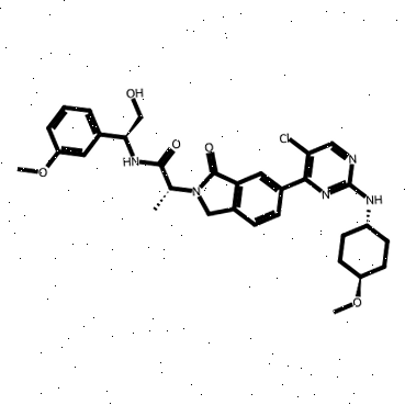 COc1cccc([C@@H](CO)NC(=O)[C@@H](C)N2Cc3ccc(-c4nc(N[C@H]5CC[C@H](OC)CC5)ncc4Cl)cc3C2=O)c1